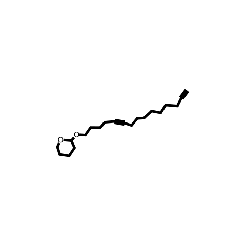 C#CCCCCCCCC#CCCCCOC1CCCCO1